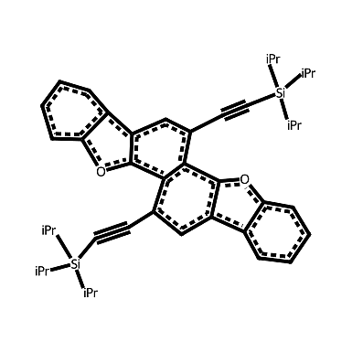 CC(C)[Si](C#Cc1cc2c3ccccc3oc2c2c(C#C[Si](C(C)C)(C(C)C)C(C)C)cc3c4ccccc4oc3c12)(C(C)C)C(C)C